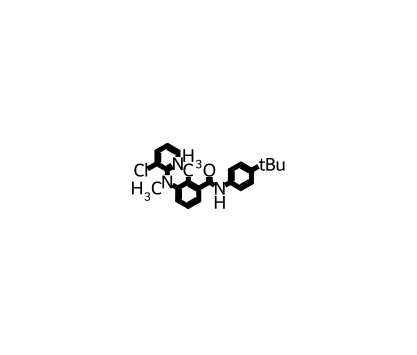 Cc1c(C(=O)Nc2ccc(C(C)(C)C)cc2)cccc1N(C)c1ncccc1Cl